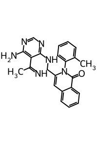 CC(=N)c1c(N)ncnc1NCc1cc2ccccc2c(=O)n1-c1ccccc1C